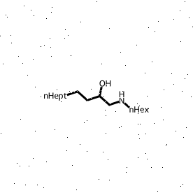 CCCCCCCCCC(O)CNCCCCCC